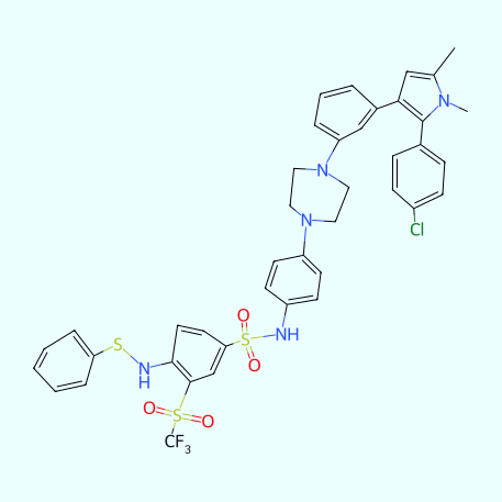 Cc1cc(-c2cccc(N3CCN(c4ccc(NS(=O)(=O)c5ccc(NSc6ccccc6)c(S(=O)(=O)C(F)(F)F)c5)cc4)CC3)c2)c(-c2ccc(Cl)cc2)n1C